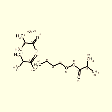 CC(C)C(=O)[O-].CC(C)C(=O)[O-].CCCCOOC(=O)C(C)C.[Zr+2]